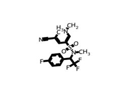 C=N/C=C(\C=C(/C)C#N)S(=O)(=O)N(C)C(c1ccc(F)cc1)C(F)(F)F